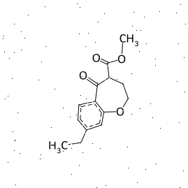 CCc1ccc2c(c1)OCCC(C(=O)OC)C2=O